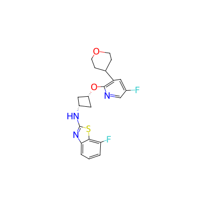 Fc1cnc(O[C@H]2C[C@@H](Nc3nc4cccc(F)c4s3)C2)c(C2CCOCC2)c1